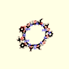 CC[C@H](C)C1(C)C(=O)N(C)[C@@H](CC(C)C)C(=O)NC(C(=O)N2CCCCC2)CC(=O)N(C)[C@H](C)C(=O)N(C)[C@@H](CC(C)C)C(=O)N[C@@H](CC(C)C)C(=O)N(C)[C@@H](Cc2ccccc2)C(=O)N[C@@H](COC(C)(C)C)C(=O)N(C)[C@@H](Cc2ccccc2)C(=O)N[C@@H]([C@@H](C)O)C(=O)N(C)[C@@H](C)C(=O)N1C